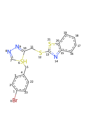 Brc1ccc(C[SH]2C=NN=C2CSc2nc3ccccc3s2)cc1